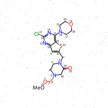 COOSN1CCN(Cc2cc3nc(Cl)nc(N4CCOCC4)c3s2)C(=O)C1